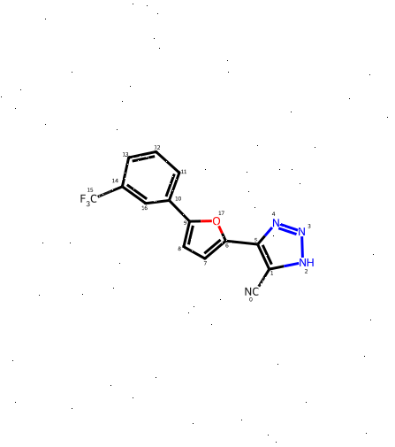 N#Cc1[nH]nnc1-c1ccc(-c2cccc(C(F)(F)F)c2)o1